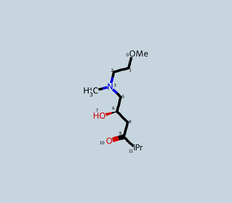 COCCN(C)C[C@H](O)CC(=O)C(C)C